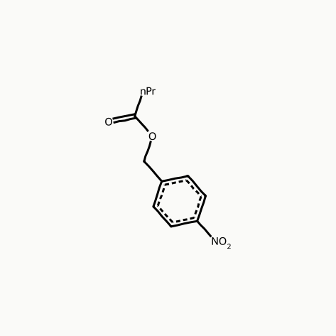 CCCC(=O)OCc1ccc([N+](=O)[O-])cc1